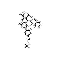 CC(C)(C)ON=Cc1cccc(CN(C(=O)c2cc(C(=O)O)c(C(=O)O)cc2C(=O)O)[C@H]2CCCc3ccccc32)c1